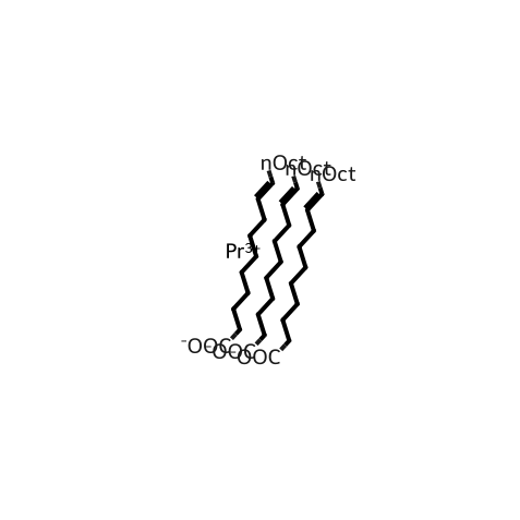 CCCCCCCCC=CCCCCCCCC(=O)[O-].CCCCCCCCC=CCCCCCCCC(=O)[O-].CCCCCCCCC=CCCCCCCCC(=O)[O-].[Pr+3]